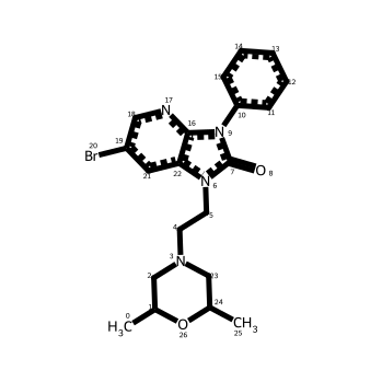 CC1CN(CCn2c(=O)n(-c3ccccc3)c3ncc(Br)cc32)CC(C)O1